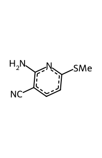 CSc1ccc(C#N)c(N)n1